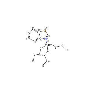 CCC[CH2][Sn]([CH2]CCC)([CH2]CCC)[n+]1csc2ccccc21